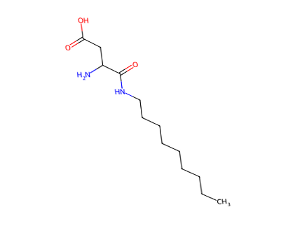 CCCCCCCCCNC(=O)C(N)CC(=O)O